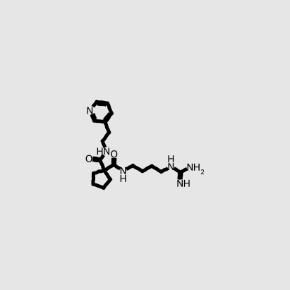 N=C(N)NCCCCNC(=O)C1(C(=O)NCCc2cccnc2)CCCC1